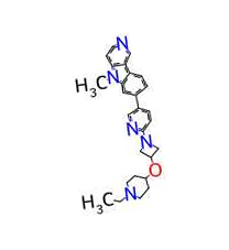 CCN1CCC(OC2CN(c3ccc(-c4ccc5c6cnccc6n(C)c5c4)cn3)C2)CC1